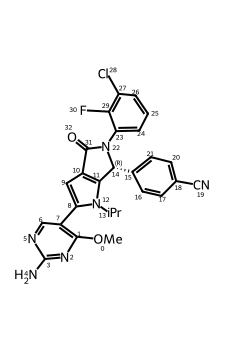 COc1nc(N)ncc1-c1cc2c(n1C(C)C)[C@@H](c1ccc(C#N)cc1)N(c1cccc(Cl)c1F)C2=O